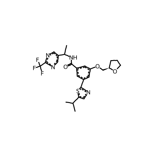 CC(C)c1cnc(-c2cc(OC[C@H]3CCCO3)cc(C(=O)NC(C)c3cnc(C(F)(F)F)nc3)c2)s1